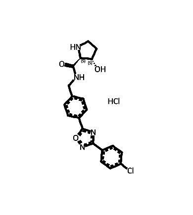 Cl.O=C(NCc1ccc(-c2nc(-c3ccc(Cl)cc3)no2)cc1)[C@H]1NCC[C@@H]1O